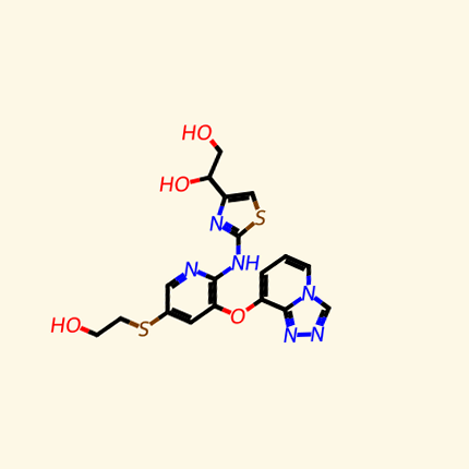 OCCSc1cnc(Nc2nc(C(O)CO)cs2)c(Oc2cccn3cnnc23)c1